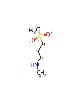 [CH2]NCCCS(C)(=O)=O